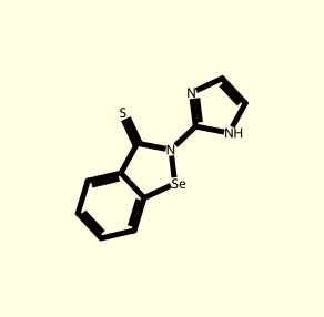 S=c1c2ccccc2[se]n1-c1ncc[nH]1